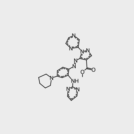 COC(=O)c1cnn(-c2cnccn2)c1/N=N/c1ccc(N2CCCCC2)cc1Nc1ncccn1